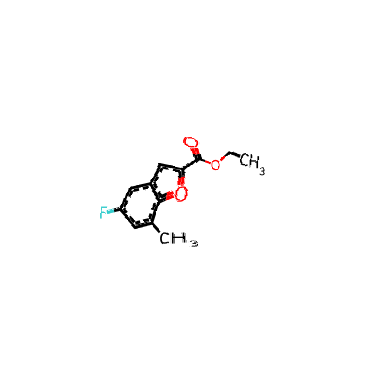 CCOC(=O)c1cc2cc(F)cc(C)c2o1